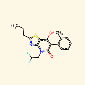 CCCc1nc2c(s1)c(O)c(-c1ccccc1C)c(=O)n2CC(F)F